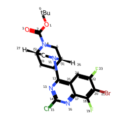 CC(C)(C)OC(=O)N1C[C@@H]2CC[C@H]1CN2c1nc(Cl)nc2c(F)c(Br)c(F)cc12